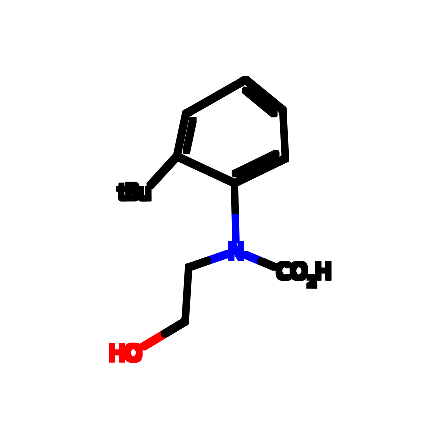 CC(C)(C)c1ccccc1N(CCO)C(=O)O